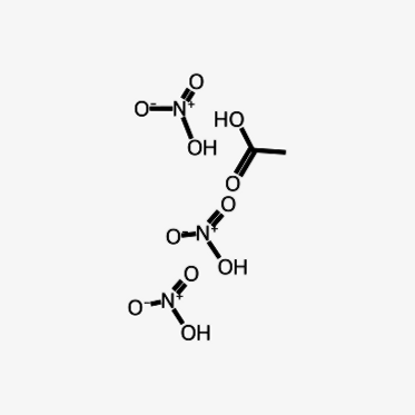 CC(=O)O.O=[N+]([O-])O.O=[N+]([O-])O.O=[N+]([O-])O